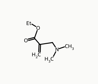 C=C(CN(C)C)C(=O)OCC